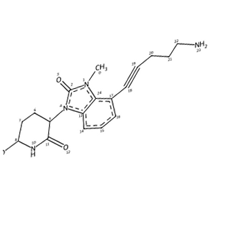 Cn1c(=O)n(C2CCC(O)NC2=O)c2cccc(C#CCCCN)c21